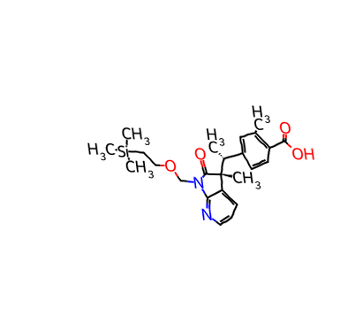 Cc1cc([C@@H](C)[C@@]2(C)C(=O)N(COCC[Si](C)(C)C)c3ncccc32)ccc1C(=O)O